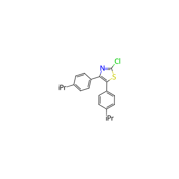 CC(C)c1ccc(-c2nc(Cl)sc2-c2ccc(C(C)C)cc2)cc1